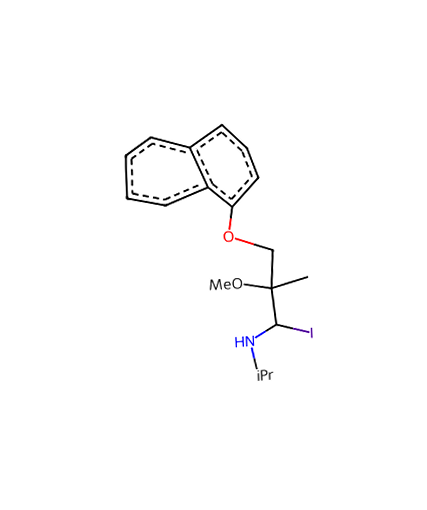 COC(C)(COc1cccc2ccccc12)C(I)NC(C)C